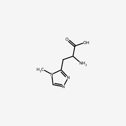 Cn1cnnc1CC(N)C(=O)O